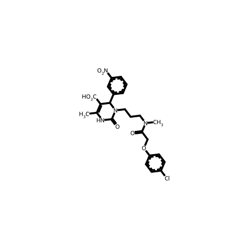 CC1=C(C(=O)O)C(c2cccc([N+](=O)[O-])c2)N(CCCN(C)C(=O)COc2ccc(Cl)cc2)C(=O)N1